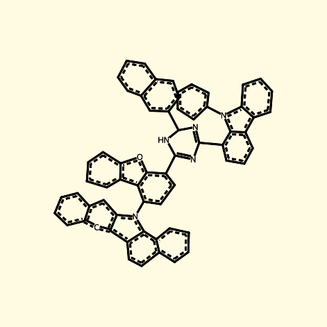 c1ccc(-n2c3ccccc3c3cccc(C4=NC(c5ccc6ccccc6c5)NC(c5ccc(-n6c7cc8ccccc8cc7c7ccc8ccccc8c76)c6c5oc5ccccc56)=N4)c32)cc1